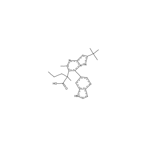 CCCC(C)(C(=O)O)c1c(C)nc2cc(C(C)(C)C)nn2c1-c1ccc2cc[nH]c2c1